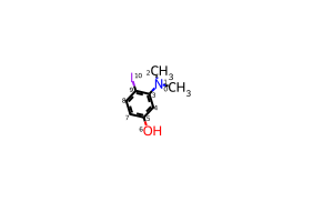 CN(C)c1cc(O)ccc1I